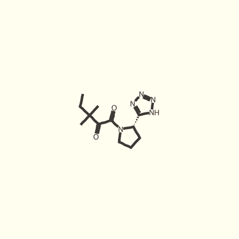 CCC(C)(C)C(=O)C(=O)N1CCC[C@H]1c1nnn[nH]1